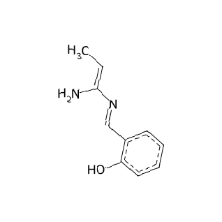 CC=C(N)N=Cc1ccccc1O